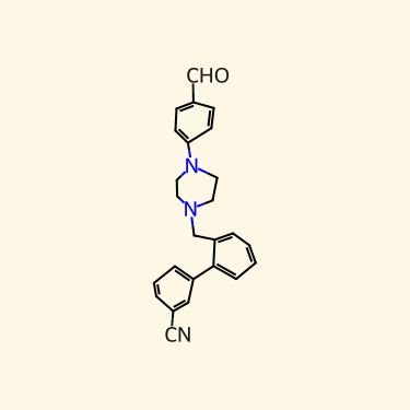 N#Cc1cccc(-c2ccccc2CN2CCN(c3ccc(C=O)cc3)CC2)c1